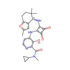 Cc1cc2c(o1)CCC(C)(C)[C@H]2Nc1c(Nc2ccnc(C(=O)N(C)C3CC3)c2O)c(=O)c1=O